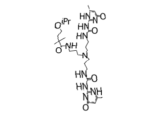 Cc1cc(=O)nc(NC(=O)NCCCN(CCCNC(=O)Nc2nc(=O)cc(C)[nH]2)CCCNC(=O)C(C)(C)CCOC(C)C)[nH]1